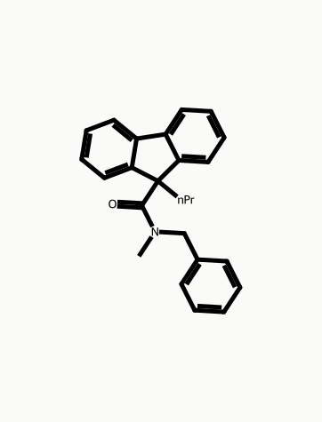 CCCC1(C(=O)N(C)Cc2ccccc2)c2ccccc2-c2ccccc21